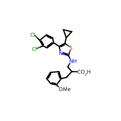 COc1ccccc1CC(CNc1nc(-c2ccc(Cl)c(Cl)c2)c(C2CC2)s1)C(=O)O